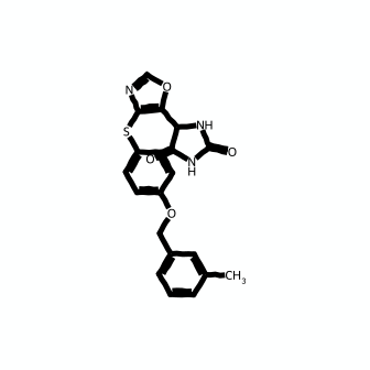 Cc1cccc(COc2ccc(Sc3ncoc3C3NC(=O)NC3=O)cc2)c1